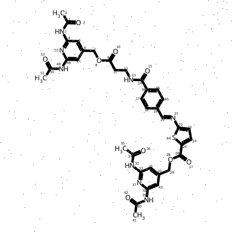 CC(=O)Nc1cc(COC(=O)CCNC(=O)c2ccc(/C=N/c3ccc(C(=O)OCc4cc(NC(C)=O)nc(NC(C)=O)c4)s3)cc2)cc(NC(C)=O)n1